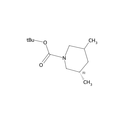 CC1C[C@H](C)CN(C(=O)OC(C)(C)C)C1